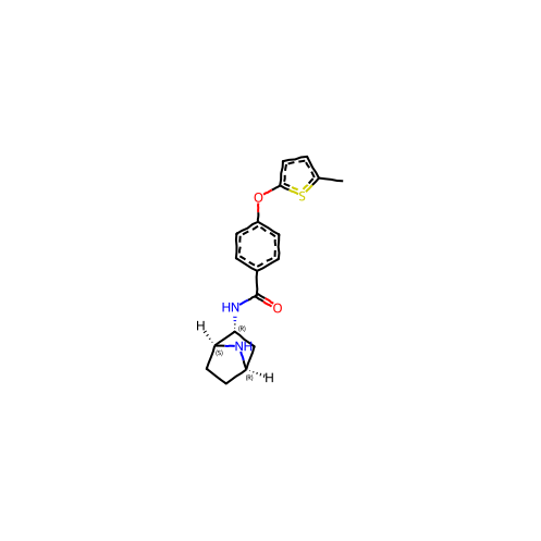 Cc1ccc(Oc2ccc(C(=O)N[C@@H]3C[C@H]4CC[C@@H]3N4)cc2)s1